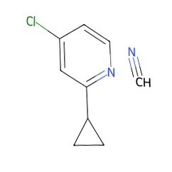 C#N.Clc1ccnc(C2CC2)c1